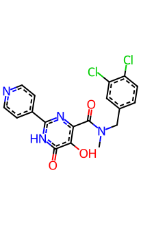 CN(Cc1ccc(Cl)c(Cl)c1)C(=O)c1nc(-c2ccncc2)[nH]c(=O)c1O